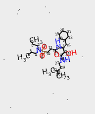 CCCN(CCC)S(=O)(=O)CCC(=O)N[C@@H](CC1CCCCC1)[C@@H](O)CNCCC(C)C